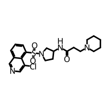 O=C(CCN1CCCCC1)NC1CCN(S(=O)(=O)c2cccc3cncc(Cl)c23)C1